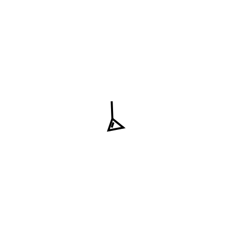 CC1=CC1